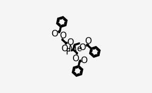 COC(COC(=O)c1ccccc1)OC(COC(=O)c1ccccc1)C(F)COC(=O)c1ccccc1